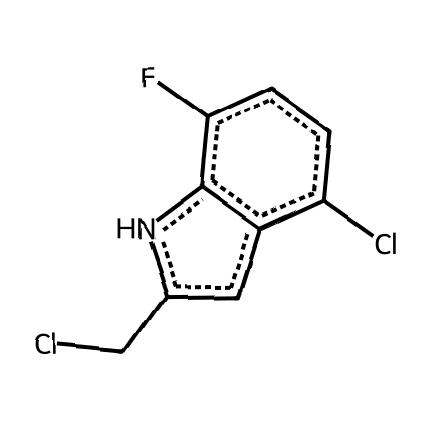 Fc1ccc(Cl)c2cc(CCl)[nH]c12